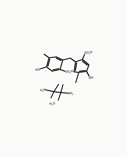 CC(C)(N)C(C)(C)N.Cc1cc(Cc2cc(C)c(O)cc2S(=O)(=O)O)c(S(=O)(=O)O)cc1O.O